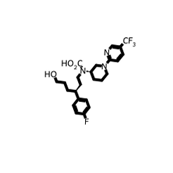 O=C(O)N(CC[C@H](CCCO)c1ccc(F)cc1)[C@H]1CCCN(c2ccc(C(F)(F)F)cn2)C1